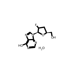 O.OC[C@@H]1CC(F)[C@H](n2cnc3c(O)ncnc32)O1